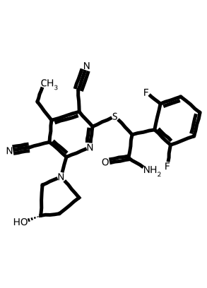 CCc1c(C#N)c(SC(C(N)=O)c2c(F)cccc2F)nc(N2CC[C@H](O)C2)c1C#N